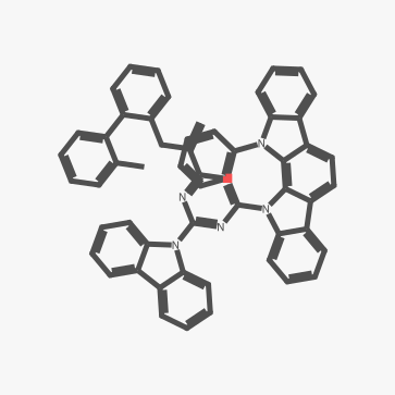 C=C(Cc1ccccc1-c1ccccc1C)c1nc(-n2c3ccccc3c3ccccc32)nc(-n2c3ccccc3c3ccc4c5ccccc5n(-c5ccccc5)c4c32)n1